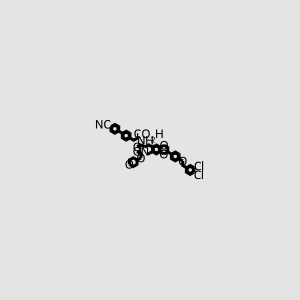 N#Cc1ccc(-c2ccc(C[C@H](NC(=O)C3Cc4cc5c(cc4CN3C(=O)OC3CCOCC3)OC(c3ccc(OCc4ccc(Cl)c(Cl)c4)cc3)CO5)C(=O)O)cc2)cc1